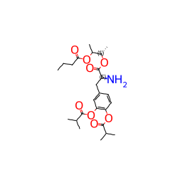 CCCC(=O)OC(C)[C@H](C)OC(=O)[C@@H](N)Cc1ccc(OC(=O)C(C)C)c(OC(=O)C(C)C)c1